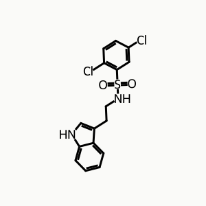 O=S(=O)(NCCc1c[nH]c2ccccc12)c1cc(Cl)ccc1Cl